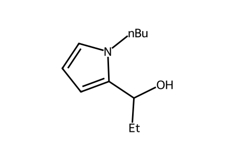 CCCCn1cccc1C(O)CC